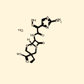 C=CC1(C(=O)O)CS[C@@H]2C(NC(=O)C(=NO)c3csc(N)n3)C(=O)N2C1.Cl